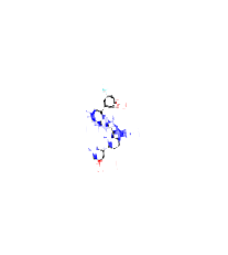 Oc1cncc(-c2ccc3[nH]nc(-c4nc5c(-c6cc(O)cc(F)c6)cncc5[nH]4)c3n2)c1